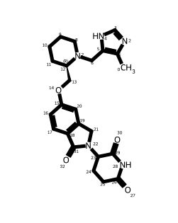 Cc1nc[nH]c1CN1CCCC[C@@H]1COc1ccc2c(c1)CN(C1CCC(=O)NC1=O)C2=O